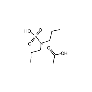 CC(=O)O.CCCN(CCC)S(=O)(=O)O